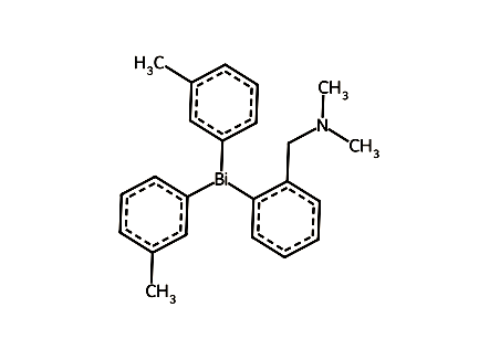 Cc1ccc[c]([Bi]([c]2cccc(C)c2)[c]2ccccc2CN(C)C)c1